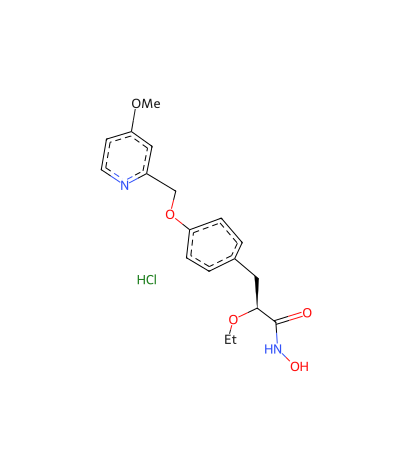 CCO[C@@H](Cc1ccc(OCc2cc(OC)ccn2)cc1)C(=O)NO.Cl